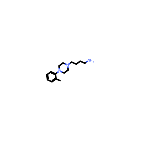 Cc1ccccc1N1CCN(CCCCN)CC1